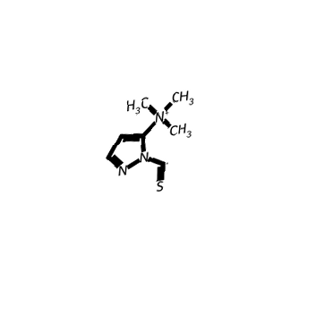 C[N+](C)(C)c1ccnn1[C]=S